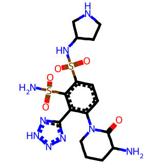 NC1CCCN(c2ccc(S(=O)(=O)NC3CCNC3)c(S(N)(=O)=O)c2-c2nn[nH]n2)C1=O